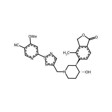 COc1cc(-n2ncc(CN3CC[C@@H](O)[C@H](c4ccc5c(c4C)COC5=O)C3)n2)ncc1C#N